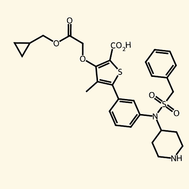 Cc1c(-c2cccc(N(C3CCNCC3)S(=O)(=O)Cc3ccccc3)c2)sc(C(=O)O)c1OCC(=O)OCC1CC1